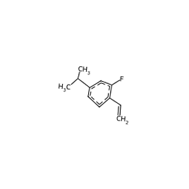 C=Cc1ccc(C(C)C)cc1F